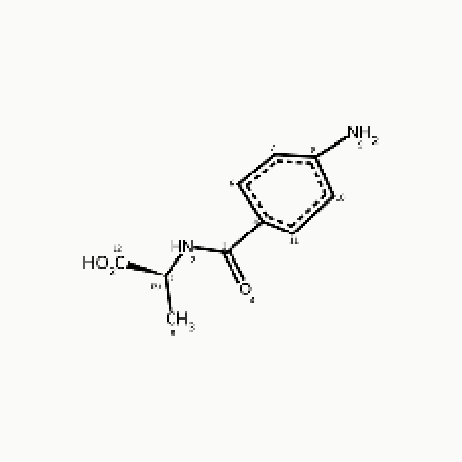 C[C@H](NC(=O)c1ccc(N)cc1)C(=O)O